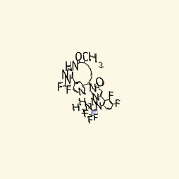 CC1CCCC(n2cnc(-c3c(N(N)/C=C(\N)C(F)(F)F)ccc(F)c3F)cc2=O)c2cc(ccn2)-c2c(cnn2C(F)F)NC1=O